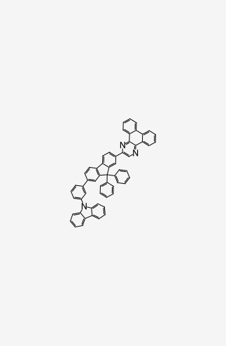 c1ccc(C2(c3ccccc3)c3cc(-c4cccc(-n5c6ccccc6c6ccccc65)c4)ccc3-c3ccc(-c4cnc5c6ccccc6c6ccccc6c5n4)cc32)cc1